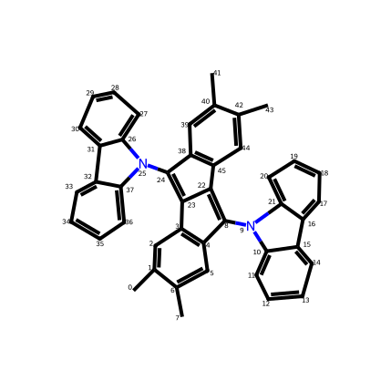 Cc1cc2c(cc1C)C(n1c3ccccc3c3ccccc31)=C1C2=C(n2c3ccccc3c3ccccc32)c2cc(C)c(C)cc21